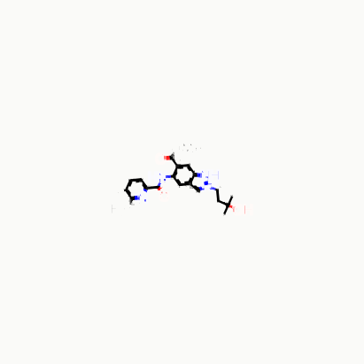 COC(=O)c1cc2[nH][n+](CCC(C)(C)O)cc2cc1NC(=O)c1cccc(C(F)(F)F)n1